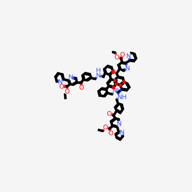 CCOC(=O)c1cc(C(=O)c2cccc(CNCc3ccccc3-c3cc(-c4ccccc4CNCc4cccc(C(=O)c5cnc(-c6ccccn6)c(C(=O)OCC)c5)c4)cc(-c4ccccc4CNCc4cccc(C(=O)c5cnc(-c6ccccn6)c(C(=O)OCC)c5)c4)c3)c2)cnc1-c1ccccn1